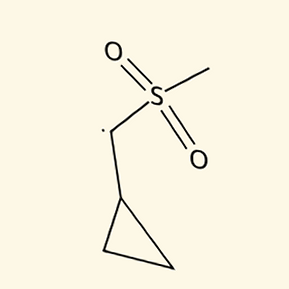 CS(=O)(=O)[CH]C1CC1